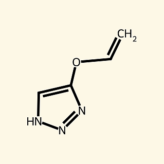 C=COc1c[nH]nn1